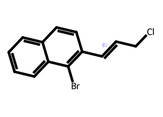 ClC/C=C/c1ccc2ccccc2c1Br